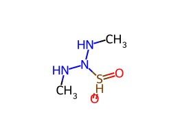 CNN(NC)[SH](=O)=O